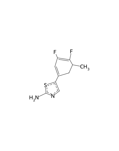 CC1CC(c2cnc(N)s2)=CC(F)=C1F